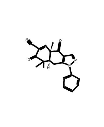 CC1(C)C(=O)C(C#N)=C[C@]2(C)C(=O)c3cnn(-c4ccccc4)c3C[C@@H]12